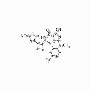 CC(c1ccc(C(F)(F)F)nc1)n1nc(C#N)c2c(=O)[nH]c([C@@H]3CC[C@H]3n3ccc(C#N)n3)nc21